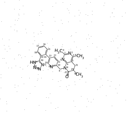 Cc1nc(C)c2c(n1)N(Cc1ccc(-c3ccccc3-c3nnn[nH]3)cn1)C(=O)C(C)C2